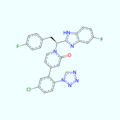 O=c1cc(-c2cc(Cl)ccc2-n2cnnn2)ccn1[C@@H](Cc1ccc(F)cc1)c1nc2cc(F)ccc2[nH]1